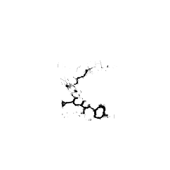 CCc1ccc(-c2oc3nc(CS(=O)(=O)NCCCC(C)(OC)C(=O)O)c(C4CC4)cc3c2C(=O)NC)cc1